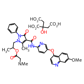 CNCC(=O)OC(C)Cn1c(C)c(C(=O)Nc2ccc(Oc3ccnc4cc(OC)ccc34)cn2)c(=O)n1-c1ccccc1.O=C(O)CC(O)(CC(=O)O)C(=O)O